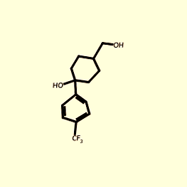 OCC1CCC(O)(c2ccc(C(F)(F)F)cc2)CC1